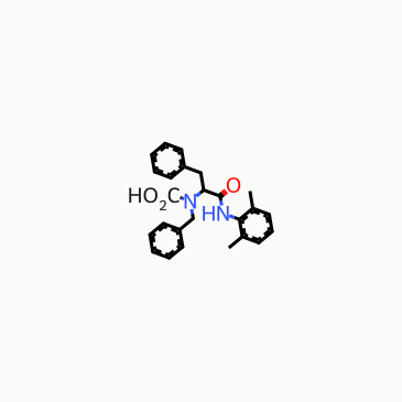 Cc1cccc(C)c1NC(=O)C(Cc1ccccc1)N(Cc1ccccc1)C(=O)O